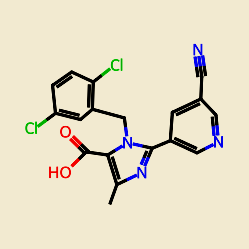 Cc1nc(-c2cncc(C#N)c2)n(Cc2cc(Cl)ccc2Cl)c1C(=O)O